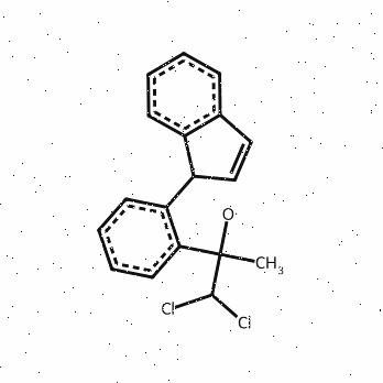 CC([O])(c1ccccc1C1C=Cc2ccccc21)C(Cl)Cl